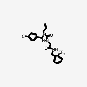 C=CCn1c(-c2ccc(Cl)cc2)nn(CC(=O)NCc2ccccc2C(F)(F)F)c1=O